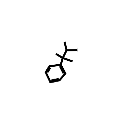 CC(I)C(C)(C)c1ccccc1